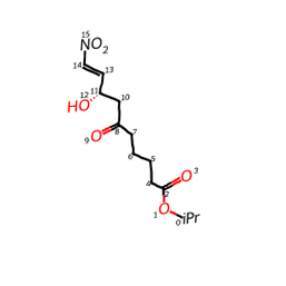 CC(C)OC(=O)CCCCC(=O)C[C@H](O)C=C[N+](=O)[O-]